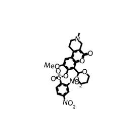 COc1cc2c3c(c(=O)oc2c(C2OCCCO2)c1OS(=O)(=O)c1ccc([N+](=O)[O-])cc1[N+](=O)[O-])CN(C)CC3